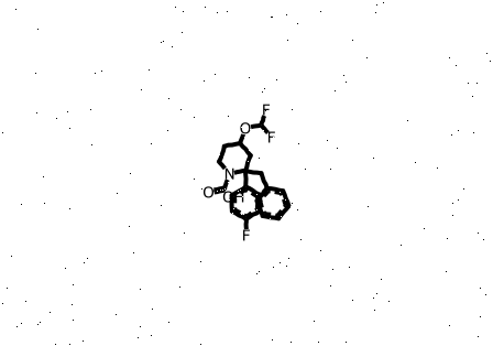 O=C(O)N1CCC(OC(F)F)CC1(Cc1ccccc1)c1ccc(F)cc1